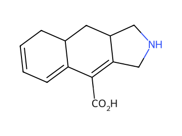 O=C(O)C1=C2CNCC2CC2CC=CC=C12